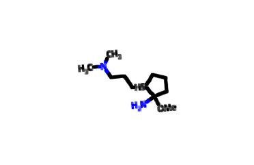 COC1(N)CCC[SiH]1CCCN(C)C